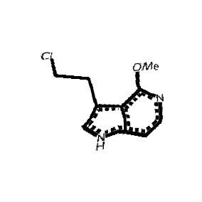 COc1nccc2[nH]cc(CCCl)c12